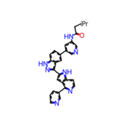 CC(C)CC(=O)Nc1cncc(-c2ccc3[nH]nc(-c4cc5c(-c6cccnc6)nccc5[nH]4)c3c2)c1